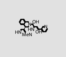 CN/C=C(\C=N)[C@@H]1CN(C(O)C(=N)/C=C(\O)c2cccnc2)Cc2ccccc21